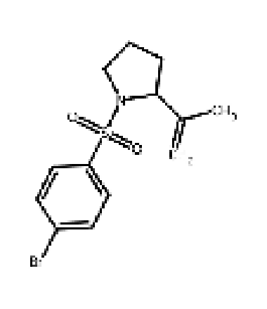 C=C(C)C1CCCN1S(=O)(=O)c1ccc(Br)cc1